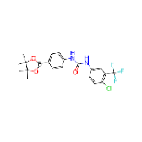 CC1(C)OB(c2ccc(NC(=O)Nc3ccc(Cl)c(C(F)(F)F)c3)cc2)OC1(C)C